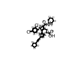 CN(Cc1c(C(=O)NN2CCCCC2)nn(-c2ccc(Cl)cc2Cl)c1-c1ccc(C#CC2CCCC2)s1)C(=O)O